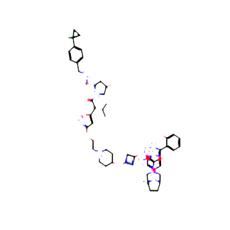 CC(C)[C@@H](C(=O)N1C[C@H](O)C[C@H]1C(=O)NCc1ccc(C2(F)CC2)cc1)c1cc(OCCN2CCC(OC3CC(Oc4cc(N5C6CC[C@@H]5CN(c5cc(-c7ccccc7O)nnc5N)C6)ccn4)C3)CC2)no1